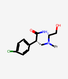 CC(C)N(CCO)C[C@@H](C(N)=O)c1ccc(Cl)cc1